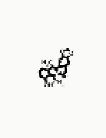 Cc1c2cccc(O)c2c(C)[n+]2ccc3cc4c(cc3c12)OCO4.[Br-]